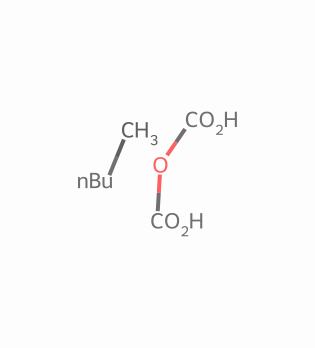 CCCCC.O=C(O)OC(=O)O